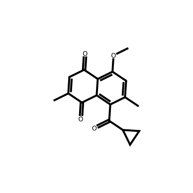 COc1cc(C)c(C(=O)C2CC2)c2c1C(=O)C=C(C)C2=O